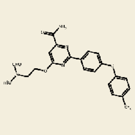 CCCCN(C=O)CCOc1cc(C(N)=O)nc(-c2ccc(Oc3ccc(C(F)(F)F)cc3)cc2)n1